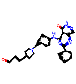 O=CCCC1CCN(c2ccc(Nc3nc(-c4ccccc4)nc4cn[nH]c(=O)c34)cc2)CC1